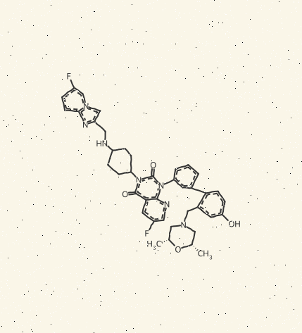 C[C@@H]1CN(Cc2cc(O)ccc2-c2cccc(-n3c(=O)n(C4CCC(NCc5cn6cc(F)ccc6n5)CC4)c(=O)c4cc(F)cnc43)c2)C[C@H](C)O1